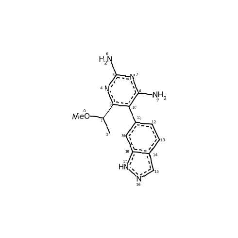 COC(C)c1nc(N)nc(N)c1-c1ccc2cn[nH]c2c1